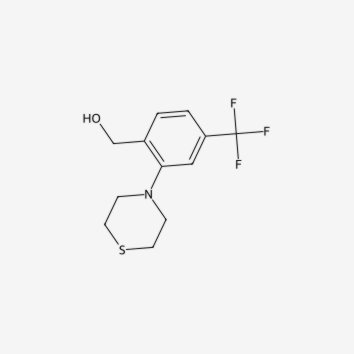 OCc1ccc(C(F)(F)F)cc1N1CCSCC1